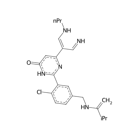 C=C(NCc1ccc(Cl)c(-c2nc(/C(C=N)=C/NCCC)cc(=O)[nH]2)c1)C(C)C